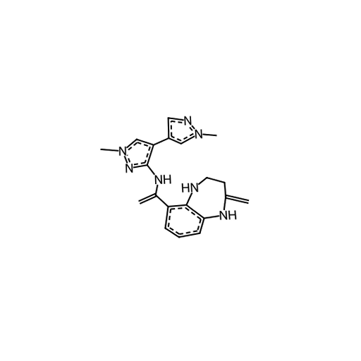 C=C1CCNc2c(cccc2C(=C)Nc2nn(C)cc2-c2cnn(C)c2)N1